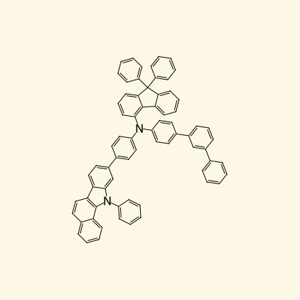 c1ccc(-c2cccc(-c3ccc(N(c4ccc(-c5ccc6c7ccc8ccccc8c7n(-c7ccccc7)c6c5)cc4)c4cccc5c4-c4ccccc4C5(c4ccccc4)c4ccccc4)cc3)c2)cc1